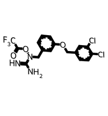 N=C(N)N(Cc1cccc(OCc2ccc(Cl)c(Cl)c2)c1)OC(=O)C(F)(F)F